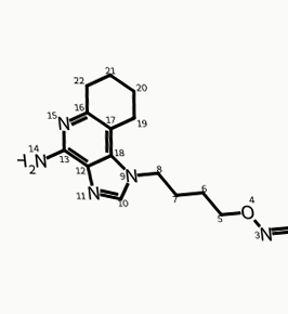 CC(C)=NOCCCCn1cnc2c(N)nc3c(c21)CCCC3